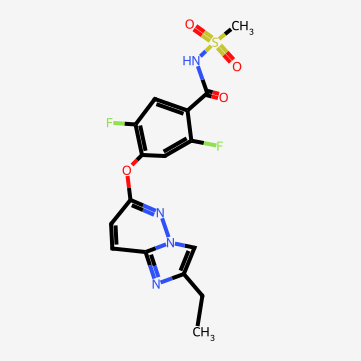 CCc1cn2nc(Oc3cc(F)c(C(=O)NS(C)(=O)=O)cc3F)ccc2n1